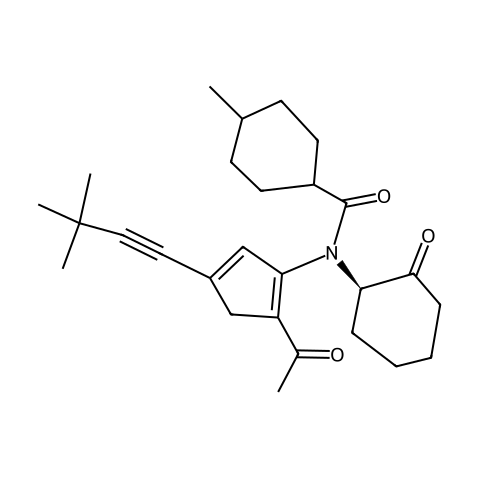 CC(=O)C1=C(N(C(=O)C2CCC(C)CC2)[C@@H]2CCCCC2=O)C=C(C#CC(C)(C)C)C1